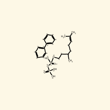 CC(C)=CCCC(C)CCOP(=O)(O)OP(=O)(O)O.c1ccc(-c2ccccc2)cc1